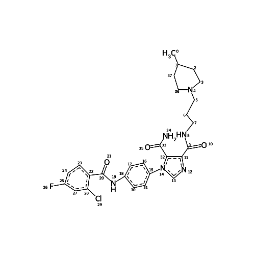 CC1CCN(CCCNC(=O)c2ncn(-c3ccc(NC(=O)c4ccc(F)cc4Cl)cc3)c2C(N)=O)CC1